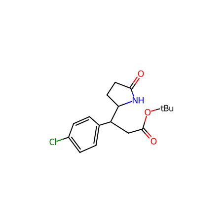 CC(C)(C)OC(=O)CC(c1ccc(Cl)cc1)C1CCC(=O)N1